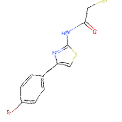 O=C(CS)Nc1nc(-c2ccc(Br)cc2)cs1